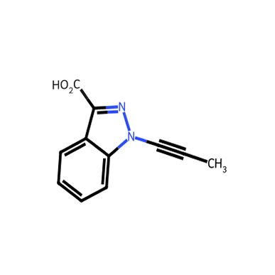 CC#Cn1nc(C(=O)O)c2ccccc21